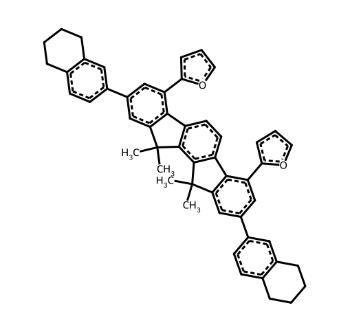 CC1(C)c2cc(-c3ccc4c(c3)CCCC4)cc(-c3ccco3)c2-c2ccc3c(c21)C(C)(C)c1cc(-c2ccc4c(c2)CCCC4)cc(-c2ccco2)c1-3